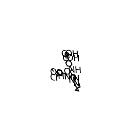 COc1ccc(CNc2nc(N3CCC4(CC4)C3)ncc2C(=O)N[C@H]2CC[C@@H](OP(=O)(O)O)CC2)cc1Cl